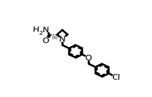 NC(=O)[C@@H]1CCN1Cc1ccc(OCc2ccc(Cl)cc2)cc1